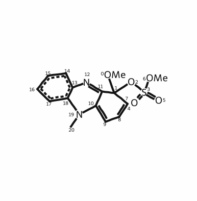 COC1(OS(=O)(=O)OC)C=CC=C2C1=Nc1ccccc1N2C